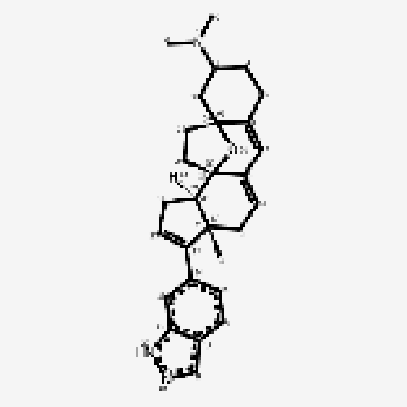 CN(C)C1CCC2=CC3=CC[C@]4(C)C(c5ccc6cn[nH]c6c5)=CC[C@H]4[C@@]34CC[C@]2(C1)O4